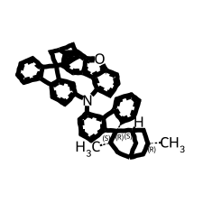 C[C@@H]1CC2C[C@H](C1)[C@@]1(c3ccccc3-c3c(N(c4ccc5c(c4)C4(CC6CCC4C6)c4ccccc4-5)c4cccc5oc6ccccc6c45)cccc31)[C@@H](C)C2